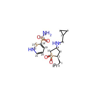 CC(C)C[C@@H]1CC(NCC2CC2)CS1(=O)=O.NS(=O)(=O)C1=CC=CNS1